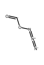 [N-]=[N+]=NO[C]=O